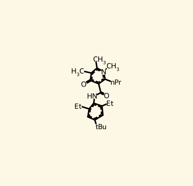 CCCc1c(C(=O)Nc2c(CC)cc(C(C)(C)C)cc2CC)c(=O)c(C)c(C)n1C